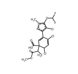 COC(=O)C(C)C1(C(=O)O)C=C(c2nn(C)c(OC(F)F)c2Cl)C(Cl)=CC1Cl